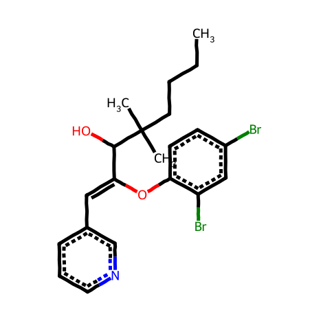 CCCCC(C)(C)C(O)C(=Cc1cccnc1)Oc1ccc(Br)cc1Br